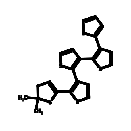 CC1(C)CC=C(c2sccc2-c2sccc2-c2sccc2-c2cccs2)S1